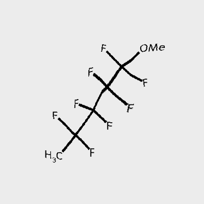 [CH2]OC(F)(F)C(F)(F)C(F)(F)C(C)(F)F